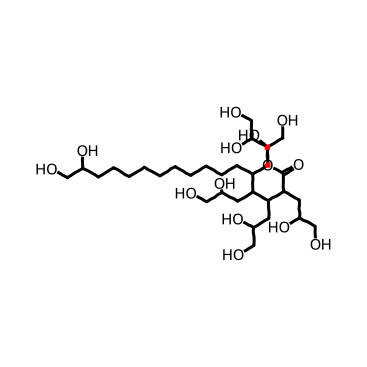 O=C(OCC(O)CO)C(CC(O)CO)C(CC(O)CO)C(CC(O)CO)C(CCCCCCCCCCC(O)CO)CC(O)CO